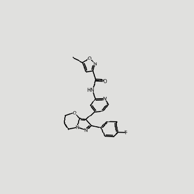 Cc1cc(C(=O)Nc2cc(-c3c(-c4ccc(F)cc4)nn4c3OCCC4)ccn2)no1